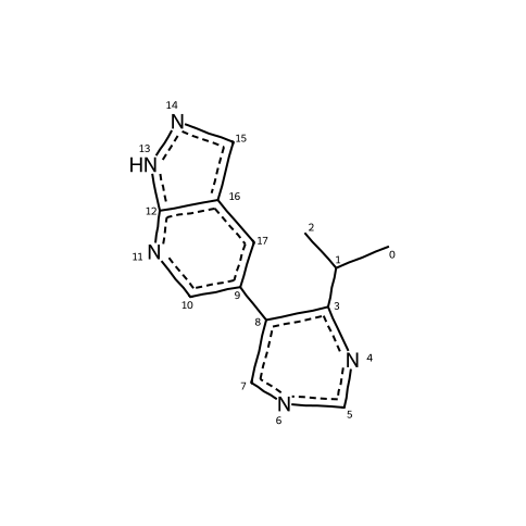 CC(C)c1ncncc1-c1cnc2[nH]ncc2c1